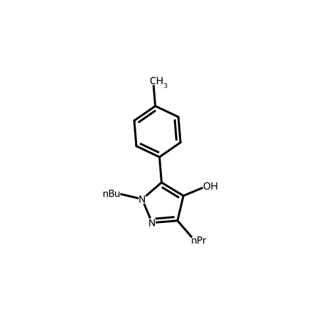 CCCCn1nc(CCC)c(O)c1-c1ccc(C)cc1